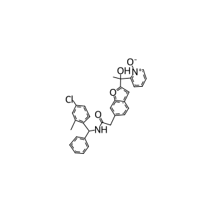 Cc1cc(Cl)ccc1C(NC(=O)Cc1ccc2cc(C(C)(O)c3cccc[n+]3[O-])oc2c1)c1ccccc1